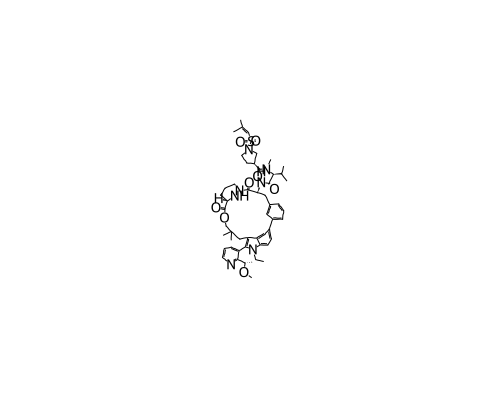 CCn1c(-c2cccnc2[C@H](C)OC)c2c3cc(ccc31)-c1cccc(c1)C[C@H](NC(=O)[C@H](C(C)C)N(C)C(=O)[C@H]1CCN(S(=O)(=O)C=C(C)C)C1)C(=O)N1CCC[C@H](N1)C(=O)OCC(C)(C)C2